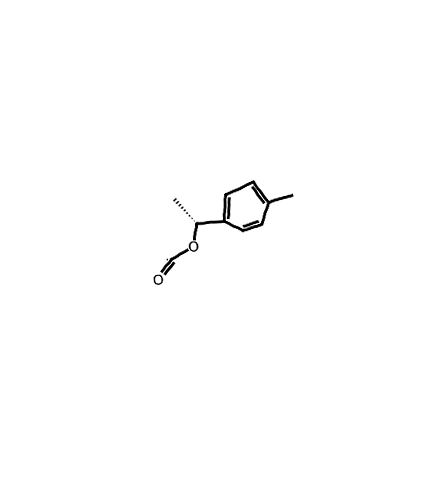 Cc1ccc([C@@H](C)O[C]=O)cc1